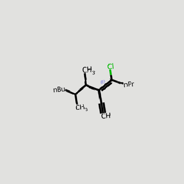 C#C/C(=C(/Cl)CCC)C(C)C(C)CCCC